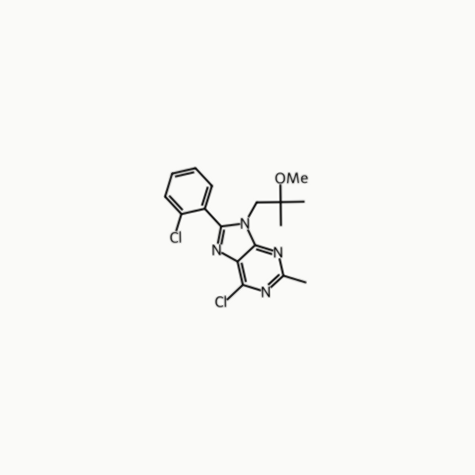 COC(C)(C)Cn1c(-c2ccccc2Cl)nc2c(Cl)nc(C)nc21